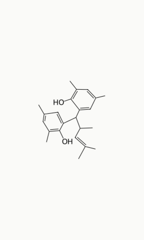 CC(C)=CC(C)C(c1cc(C)cc(C)c1O)c1cc(C)cc(C)c1O